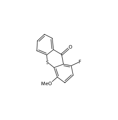 COc1ccc(F)c2c(=O)c3ccccc3sc12